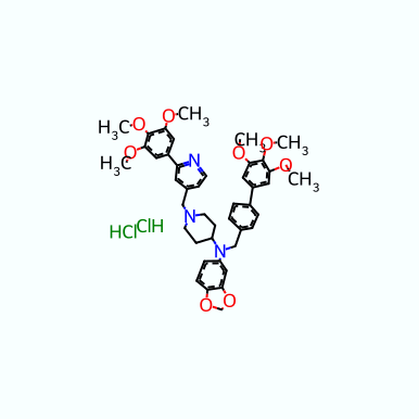 COc1cc(-c2ccc(CN(c3ccc4c(c3)OCO4)C3CCN(Cc4ccnc(-c5cc(OC)c(OC)c(OC)c5)c4)CC3)cc2)cc(OC)c1OC.Cl.Cl